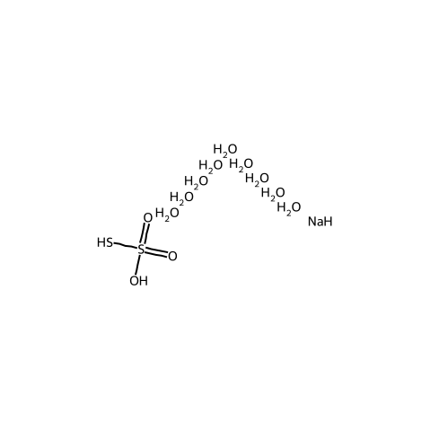 O.O.O.O.O.O.O.O.O.O=S(=O)(O)S.[NaH]